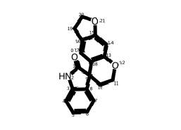 O=C1Nc2ccccc2C12CCOc1cc3c(cc12)CCO3